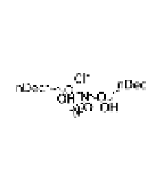 CCCCCCCCCCCCCC(O)OCCN(CCOC(O)CCCCCCCCCCCCC)C(=O)C[N+](C)(C)C.[Cl-]